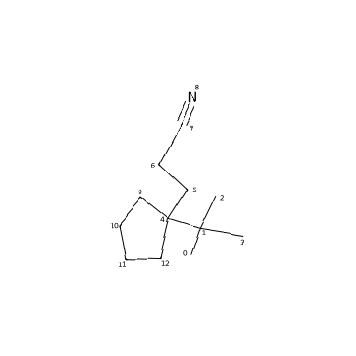 CC(C)(C)C1(CCC#N)CCCC1